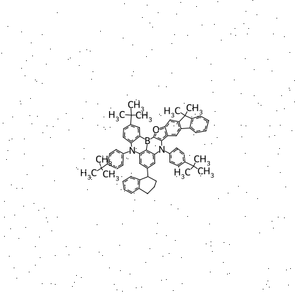 CC(C)(C)c1ccc(N2c3ccc(C(C)(C)C)cc3B3c4oc5cc6c(cc5c4N(c4ccc(C(C)(C)C)cc4)c4cc(C5CCCc7ccccc75)cc2c43)-c2ccccc2C6(C)C)cc1